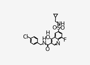 O=C(NCc1ccc(Cl)cc1)c1cnc2c(F)cc(S(=O)(=O)NCC3CC3)cc2c1O